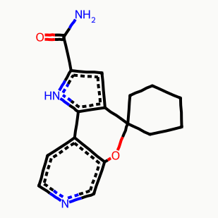 NC(=O)c1cc2c([nH]1)-c1ccncc1OC21CCCCC1